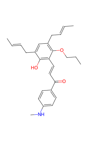 CC=CCc1cc(CC=CC)c(OCCC)c(C=CC(=O)c2ccc(NC)cc2)c1O